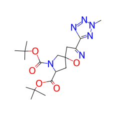 Cn1nnc(C2=NOC3(C2)CC(C(=O)OC(C)(C)C)N(C(=O)OC(C)(C)C)C3)n1